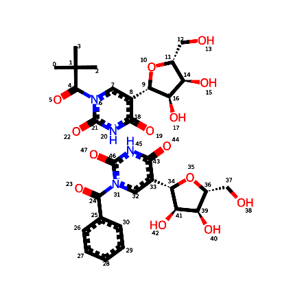 CC(C)(C)C(=O)n1cc([C@@H]2O[C@H](CO)[C@@H](O)[C@H]2O)c(=O)[nH]c1=O.O=C(c1ccccc1)n1cc([C@@H]2O[C@H](CO)[C@@H](O)[C@H]2O)c(=O)[nH]c1=O